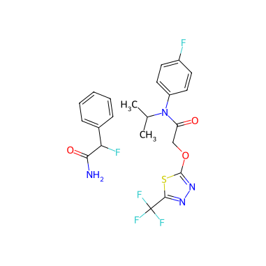 CC(C)N(C(=O)COc1nnc(C(F)(F)F)s1)c1ccc(F)cc1.NC(=O)C(F)c1ccccc1